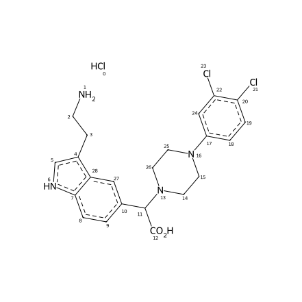 Cl.NCCc1c[nH]c2ccc(C(C(=O)O)N3CCN(c4ccc(Cl)c(Cl)c4)CC3)cc12